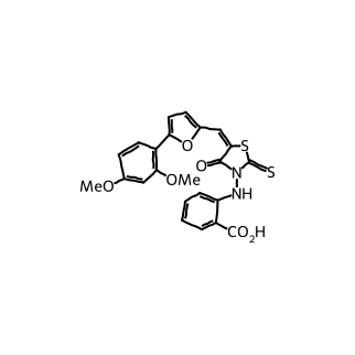 COc1ccc(-c2ccc(C=C3SC(=S)N(Nc4ccccc4C(=O)O)C3=O)o2)c(OC)c1